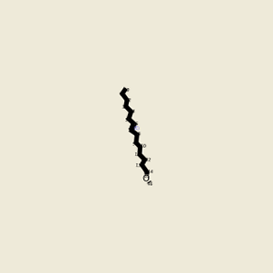 CCCCCC/C=C/CCCCCCCOC